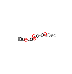 CCCCCCCCCCOc1ccc(-c2ccc(C(=O)Oc3ccc(CCOCC(C)CC)cc3)cc2)cc1